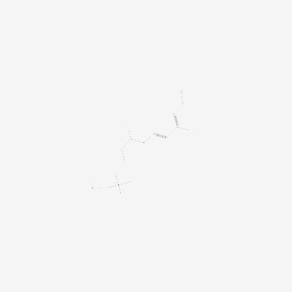 COC(C)(C)CCCC(C)CC=CC(C)=CCBr